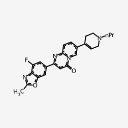 CCCN1CC=C(c2ccc3nc(-c4cc(F)c5nc(C)oc5c4)cc(=O)n3c2)CC1